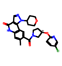 Cc1cc2[nH]c(=O)c3cnn(C4CCOCC4)c3c2cc1C(=O)N1CC[C@@H](Oc2ccc(Cl)cn2)C1